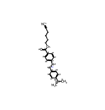 C#CCCCCOC(=O)c1ccc(/N=N/c2ccc(N(C)C)cc2)cc1